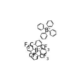 FC(F)(F)c1ccccc1[B-](c1ccccc1C(F)(F)F)(c1ccccc1C(F)(F)F)c1ccccc1C(F)(F)F.c1ccc([B-](c2ccccc2)(c2ccccc2)c2ccccc2)cc1